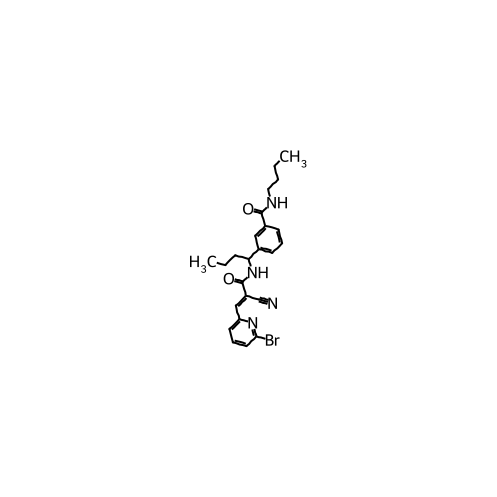 CCCCNC(=O)c1cccc(C(CCC)NC(=O)/C(C#N)=C/c2cccc(Br)n2)c1